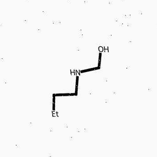 CCCCNCO